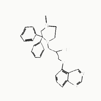 CN1CCN(CC(O)COc2cccc3ncncc23)C(c2ccccc2)(c2ccccc2)C1